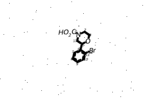 O=C(O)N1CCOC(c2ccccc2Br)C1